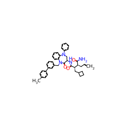 C=CC[C@H](C(N)=O)[C@@H](CC1CCC1)C(=O)NC1CN(c2ccccc2)c2ccccc2N(Cc2cccc(-c3ccc(C)cc3)c2)C1=O